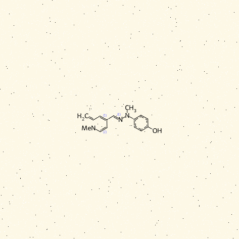 C=C/C=C(\C=C/NC)/C=N/N(C)c1ccc(O)cc1